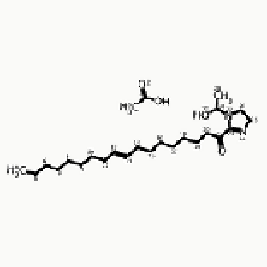 CC(=O)O.CCCCCCCCC=CCCCCCCCC(=O)C1=NCCN1C(C)O